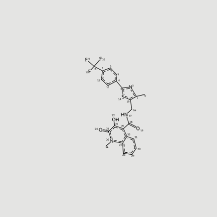 Cc1nc(-c2ccc(C(F)(F)F)cc2)sc1CNC(=O)c1c(O)c(=O)n(C)c2ccccc12